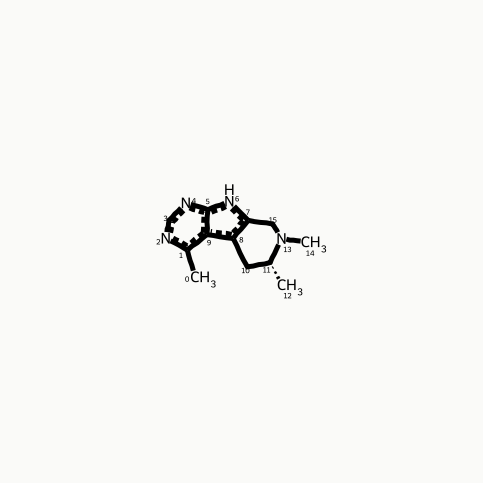 Cc1ncnc2[nH]c3c(c12)C[C@@H](C)N(C)C3